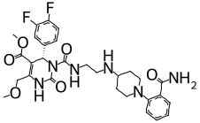 COCC1=C(C(=O)OC)[C@H](c2ccc(F)c(F)c2)N(C(=O)NCCNC2CCN(c3ccccc3C(N)=O)CC2)C(=O)N1